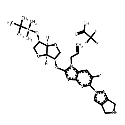 C=CCn1c(O[C@@H]2CO[C@H]3[C@@H]2OC[C@H]3O[Si](C)(C)C(C)(C)C)nc2nc(-n3cc4c(n3)CNC4)c(Cl)cc21.O=C(O)C(F)(F)F